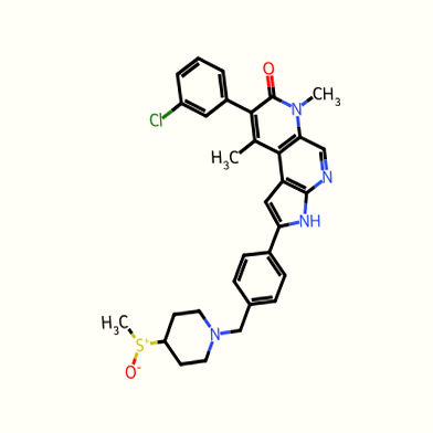 Cc1c(-c2cccc(Cl)c2)c(=O)n(C)c2cnc3[nH]c(-c4ccc(CN5CCC([S+](C)[O-])CC5)cc4)cc3c12